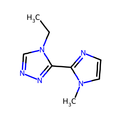 CCn1cnnc1-c1nccn1C